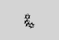 C=CC(OC(C=C)N1CCOCC1)N1CCOCC1